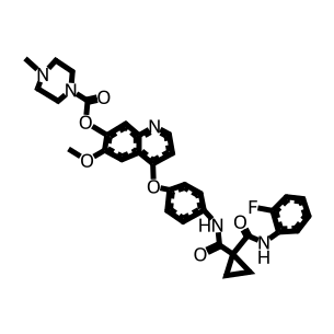 COc1cc2c(Oc3ccc(NC(=O)C4(C(=O)Nc5ccccc5F)CC4)cc3)ccnc2cc1OC(=O)N1CCN(C)CC1